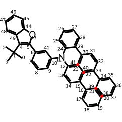 CC(C)(C)c1c(-c2cccc(N(c3ccc(-c4ccccc4)cc3)c3ccccc3-c3ccc(-c4ccccc4)cc3)c2)oc2ccccc12